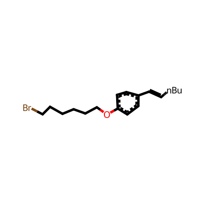 CCCCC=Cc1ccc(OCCCCCCBr)cc1